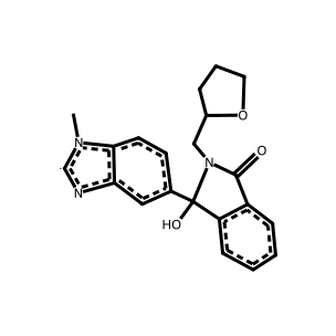 Cn1[c]nc2cc(C3(O)c4ccccc4C(=O)N3CC3CCCO3)ccc21